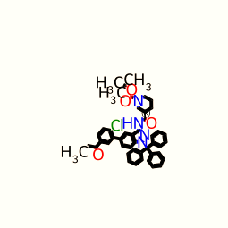 CCC(=O)c1ccc(Cl)c(-c2ccc3c(c2)c(NC(=O)[C@@H]2CCCN(C(=O)OC(C)(C)C)C2)nn3C(c2ccccc2)(c2ccccc2)c2ccccc2)c1